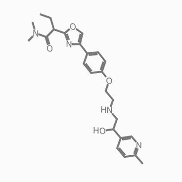 CCC(C(=O)N(C)C)c1nc(-c2ccc(OCCNCC(O)c3ccc(C)nc3)cc2)co1